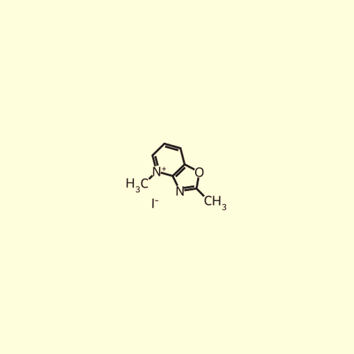 Cc1nc2c(ccc[n+]2C)o1.[I-]